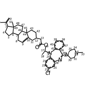 C=C(C)C1CCC2C3CC=C4CC(CC(=O)OC(C)N5c6ccc(Cl)cc6N=C(N6CCN(C)CC6)c6ccccc65)CCC4(C)C3CCC12C